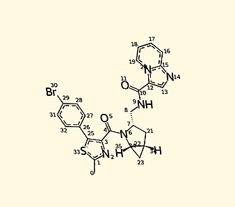 Cc1nc(C(=O)N2[C@H](CNC(=O)c3cnc4ccccn34)C[C@@H]3C[C@@H]32)c(-c2ccc(Br)cc2)s1